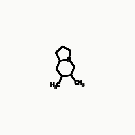 CC1CC2CCCN2CC1C